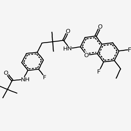 CCc1c(F)cc2c(=O)cc(NC(=O)C(C)(C)Cc3ccc(NC(=O)C(C)(C)C)c(F)c3)oc2c1F